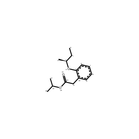 CC[C@H](C)Oc1ccccc1CC(=O)OC(C)C